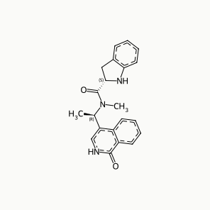 C[C@H](c1c[nH]c(=O)c2ccccc12)N(C)C(=O)[C@@H]1Cc2ccccc2N1